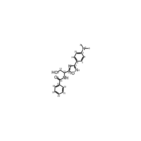 CN(C)c1ccc(-c2noc(C(CO)NC(=O)c3ccccc3)n2)cc1